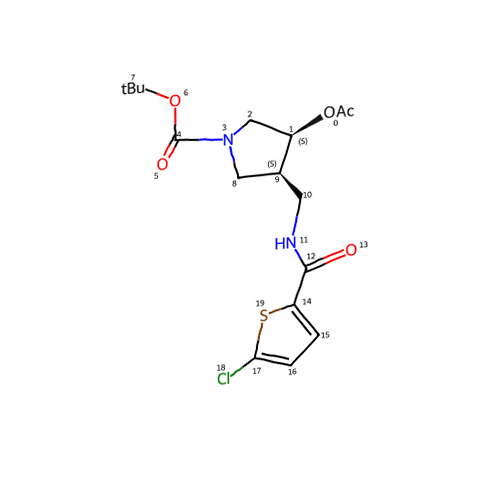 CC(=O)O[C@@H]1CN(C(=O)OC(C)(C)C)C[C@@H]1CNC(=O)c1ccc(Cl)s1